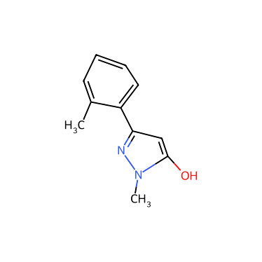 Cc1ccccc1-c1cc(O)n(C)n1